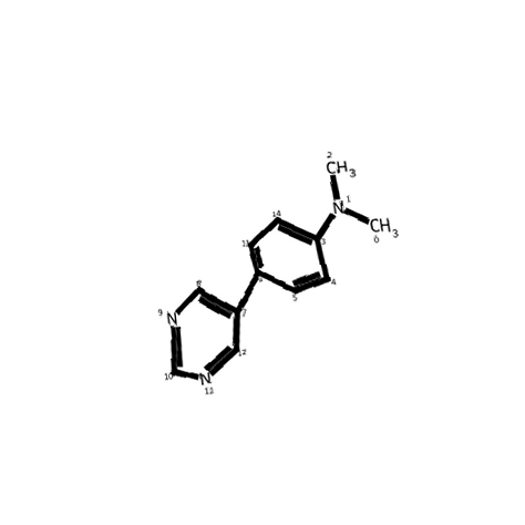 CN(C)c1ccc(-c2cn[c]nc2)cc1